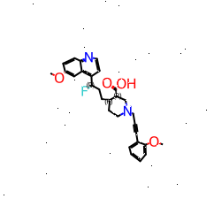 COc1ccc2nccc([C@H](F)CC[C@@H]3CCN(CC#Cc4ccccc4OC)C[C@@H]3C(=O)O)c2c1